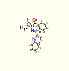 CC1(C)N=C(c2ccc3ccccc3n2)c2ccccc2C1=O